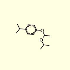 CC(C)OC(C)Oc1ccc(C(C)C)cc1